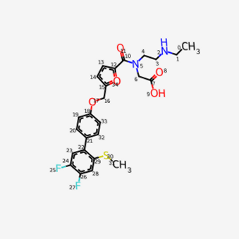 CCNCCN(CC(=O)O)C(=O)c1ccc(COc2ccc(-c3cc(F)c(F)cc3SC)cc2)o1